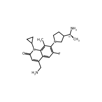 Cc1c(N2CCC([C@H](C)N)C2)c(F)cc2c(CN)cc(=O)n(C3CC3)c12